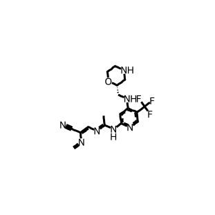 C=N/C(C#N)=C\N=C(/C)Nc1cc(NC[C@H]2CNCCO2)c(C(F)(F)F)cn1